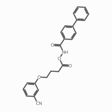 N#Cc1cccc(OCCCC(=O)ONC(=O)c2ccc(-c3ccccc3)cc2)c1